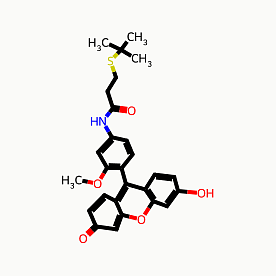 COc1cc(NC(=O)CCSC(C)(C)C)ccc1-c1c2ccc(=O)cc-2oc2cc(O)ccc12